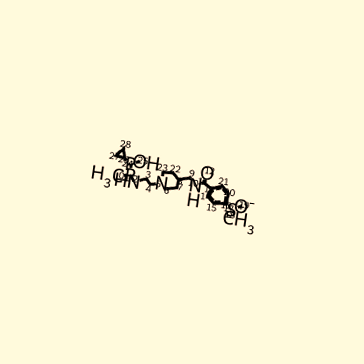 CP(NCCN1CCC(CNC(=O)c2ccc([S+](C)[O-])cc2)CC1)P(O)C1CC1